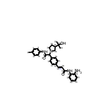 Cc1ccc(NC(=O)C(c2ccc(/C=C/C(=O)Nc3ccccc3N)cc2)N2CCC(C(C)(C)O)C2)cc1